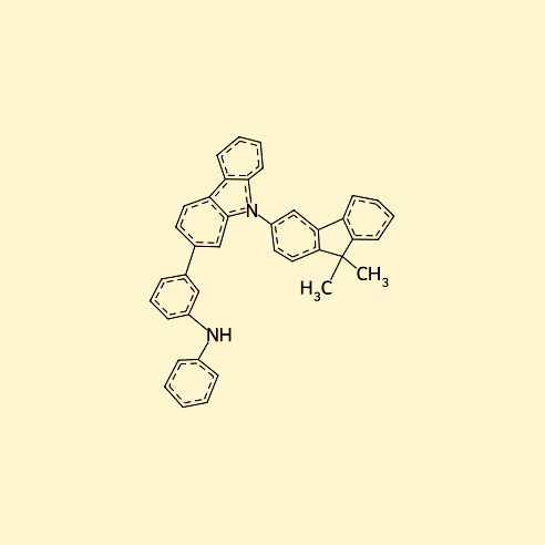 CC1(C)c2ccccc2-c2cc(-n3c4ccccc4c4ccc(-c5cccc(Nc6ccccc6)c5)cc43)ccc21